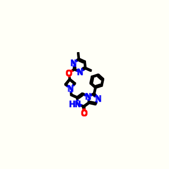 Cc1cc(C)nc(OC2CN(Cc3cn4c(-c5ccccc5)ncc4c(=O)[nH]3)C2)n1